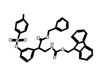 Cc1ccc(S(=O)(=O)Oc2cccc(C(CNC(=O)OCC3c4ccccc4-c4ccccc43)C(=O)OCc3ccccc3)c2)cc1